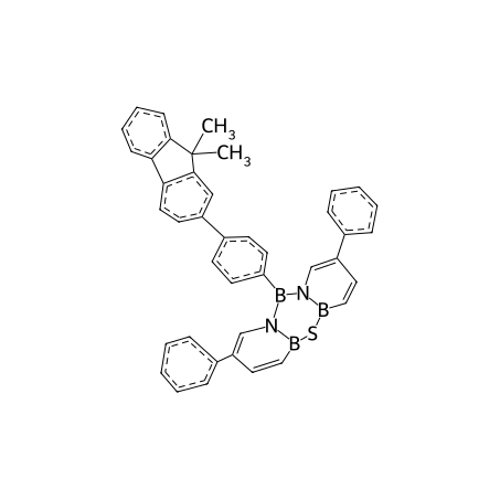 CC1(C)c2ccccc2-c2ccc(-c3ccc(B4N5C=C(c6ccccc6)C=CB5SB5C=CC(c6ccccc6)=CN54)cc3)cc21